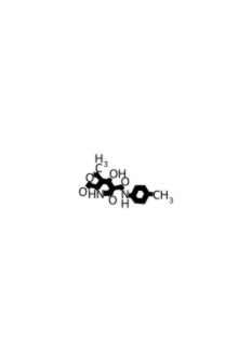 Cc1ccc(NC(=O)c2c(O)c3c([nH]c2=O)C(=O)O[C@@H]3C)cc1